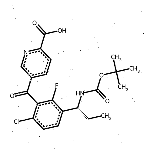 CC[C@@H](NC(=O)OC(C)(C)C)c1ccc(Cl)c(C(=O)c2ccc(C(=O)O)nc2)c1F